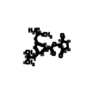 CN(C)Cc1cc(CN(C)C)cc(C(=O)ON2C(=O)CCC2=O)c1